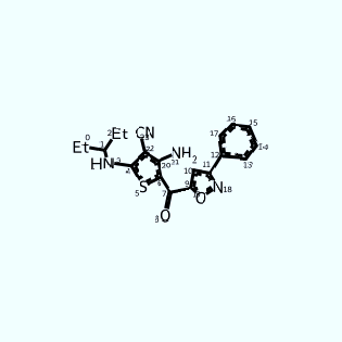 CCC(CC)Nc1sc(C(=O)c2cc(-c3ccccc3)no2)c(N)c1C#N